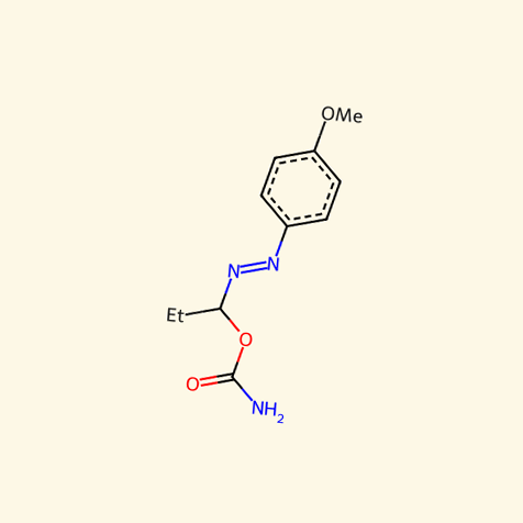 CCC(N=Nc1ccc(OC)cc1)OC(N)=O